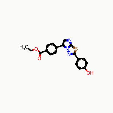 CCOC(=O)c1ccc(-c2cnc3sc(-c4ccc(O)cc4)nn23)cc1